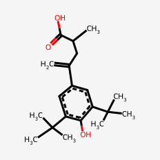 C=C(CC(C)C(=O)O)c1cc(C(C)(C)C)c(O)c(C(C)(C)C)c1